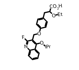 CCOC(Cc1ccc(OCc2c(F)nc3ccccc3c2OC(C)C)cc1)C(=O)O